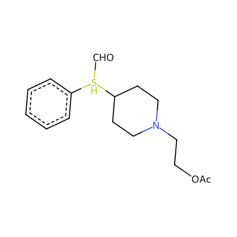 CC(=O)OCCN1CCC([SH](C=O)c2ccccc2)CC1